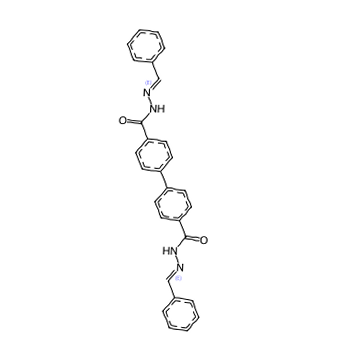 O=C(N/N=C/c1ccccc1)c1ccc(-c2ccc(C(=O)N/N=C/c3ccccc3)cc2)cc1